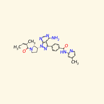 C/C=C(/C)C(=O)N1CC[C@@H](n2nc(-c3ccc(C(=O)Nc4cc(C)ccn4)cc3)c3c(N)ncnc32)C1